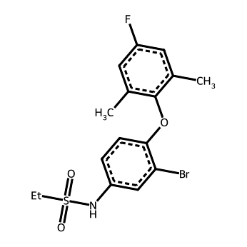 CCS(=O)(=O)Nc1ccc(Oc2c(C)cc(F)cc2C)c(Br)c1